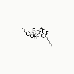 CCCCCCc1ccc(-c2c([O])cc(F)c(C(F)(F)Oc3ccc(CCC)cc3)c2F)c(F)c1F